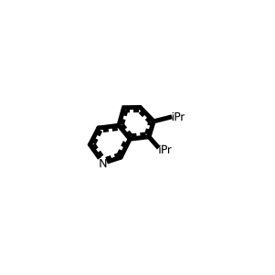 CC(C)c1ccc2ccncc2c1C(C)C